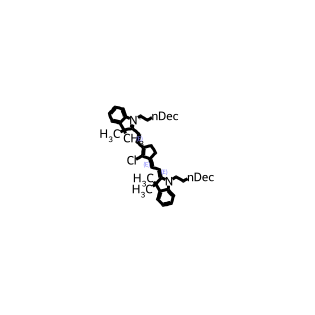 CCCCCCCCCCCCN1/C(=C/C=C2\CCC(/C=C/C3=[N+](CCCCCCCCCCCC)c4ccccc4C3(C)C)=C2Cl)C(C)(C)c2ccccc21